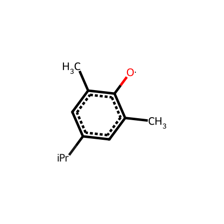 Cc1cc(C(C)C)cc(C)c1[O]